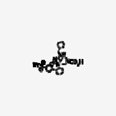 CC(C)S(=O)(=O)c1ccc(-c2ccccc2N2C(=O)N=C(NCc3ccccc3)[C@]23CCN(C(=O)O)[C@@H](C)C3)cc1